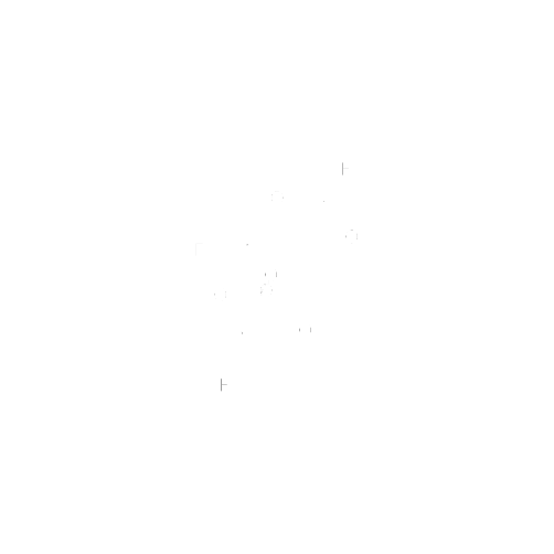 FC12OC3OC(F)(O1)OC(F)(O3)O2